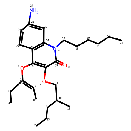 CC=C(CC)Oc1c(OCC(C)CCC)c(=O)n(CCCCCC)c2cc(N)ccc12